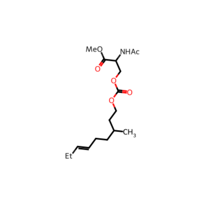 CC/C=C/CCC(C)CCOC(=O)OCC(NC(C)=O)C(=O)OC